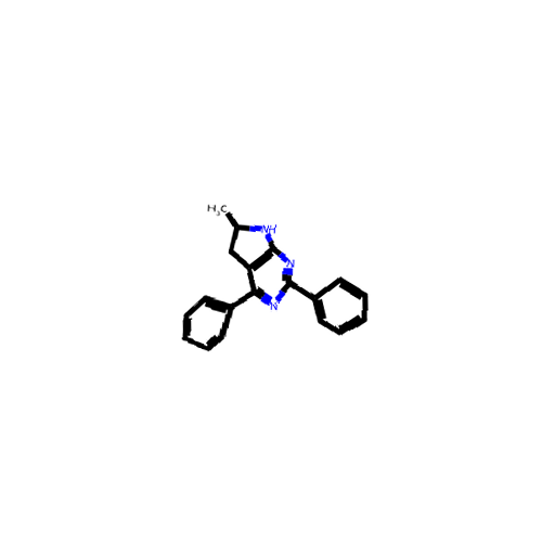 CC1Cc2c(nc(-c3ccccc3)nc2-c2ccccc2)N1